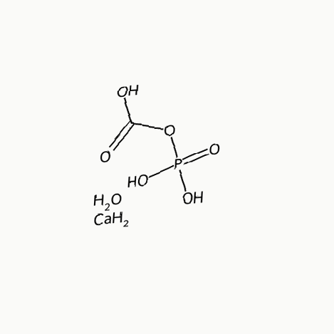 O.O=C(O)OP(=O)(O)O.[CaH2]